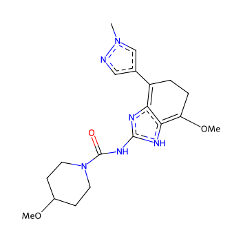 COC1=c2[nH]c(NC(=O)N3CCC(OC)CC3)nc2=C(c2cnn(C)c2)CC1